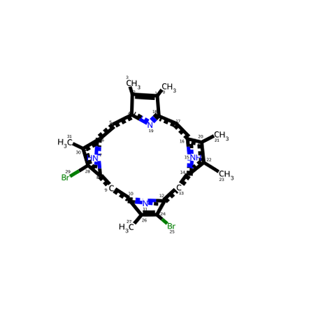 CC1=C(C)c2cc3[nH]c(cc4nc(cc5[nH]c(cc1n2)c(C)c5C)C(Br)=C4C)c(Br)c3C